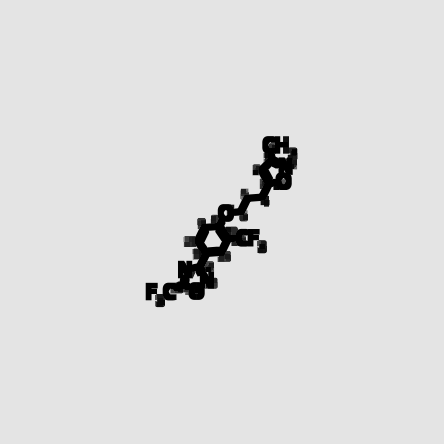 Cc1cc(CCCOc2ccc(-c3noc(C(F)(F)F)n3)cc2C(F)(F)F)on1